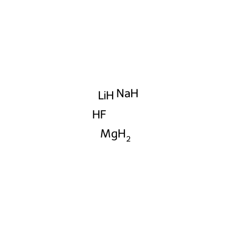 F.[LiH].[MgH2].[NaH]